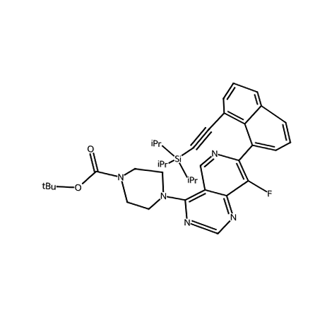 CC(C)[Si](C#Cc1cccc2cccc(-c3ncc4c(N5CCN(C(=O)OC(C)(C)C)CC5)ncnc4c3F)c12)(C(C)C)C(C)C